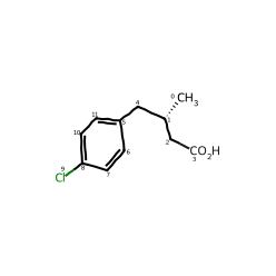 C[C@H](CC(=O)O)Cc1ccc(Cl)cc1